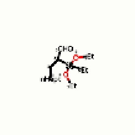 CCCCCCCCC(C=O)[Si](CC)(OCC)OCC